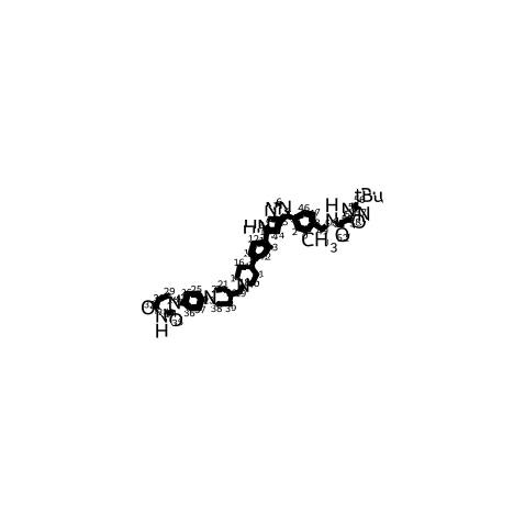 Cc1cc(-c2ncnc3[nH]c(-c4ccc(C5CCN(CC6CCN(c7ccc(N8CCC(=O)NC8=O)cc7)CC6)CC5)cc4)cc23)ccc1CNC(=O)c1nc(C(C)(C)C)no1